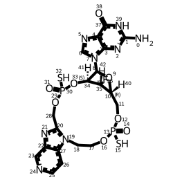 Nc1nc2c(ncn2C2O[C@@H]3COP(=O)(S)OCCn4c(nc5cnccc54)COP(=O)(S)O[C@@H]2[C@@H]3F)c(=O)[nH]1